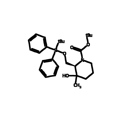 CC(C)(C)OC(=O)N1CCCC(C)(O)[C@H]1CO[Si](c1ccccc1)(c1ccccc1)C(C)(C)C